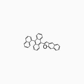 c1ccc2cc3oc(-c4c5ccccc5c(-c5cccc6ccccc56)c5ccccc45)cc3cc2c1